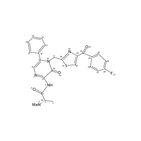 CN[C@@H](C)C(=O)Nc1ncc(-c2ccccc2)n(Cc2nc(C(=O)c3ccc(F)cc3)cs2)c1=O